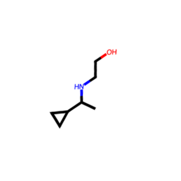 CC(NCCO)C1CC1